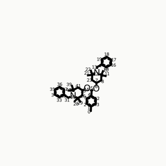 Cc1ccc(C(OC2CC(C)(C)N(Cc3ccccc3)C(C)(C)C2)OC2CC(C)(C)N(Cc3ccccc3)C(C)(C)C2)cc1